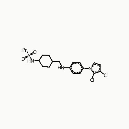 CC(C)S(=O)(=O)NC1CCC(CNc2ccc(-n3ccc(Cl)c3Cl)cc2)CC1